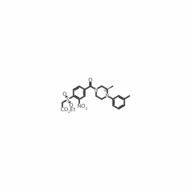 CCOC(=O)CS(=O)(=O)c1ccc(C(=O)N2CCN(c3cccc(C)c3)[C@H](C)C2)cc1[N+](=O)[O-]